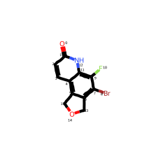 O=c1ccc2c3c(c(Br)c(F)c2[nH]1)COC3